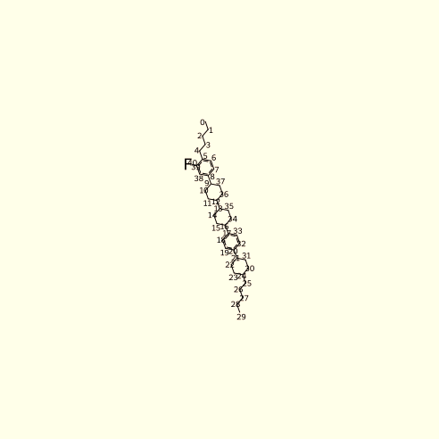 CCCCCc1ccc(C2CCC(C3CCC(c4ccc(C5CCC(CCCCC)CC5)cc4)CC3)CC2)cc1F